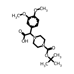 COc1ccc(C(C(=O)O)N2CCN(C(=O)OC(C)(C)C)CC2)cc1OC